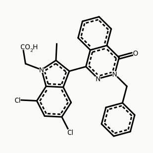 Cc1c(-c2nn(Cc3ccccc3)c(=O)c3ccccc23)c2cc(Cl)cc(Cl)c2n1CC(=O)O